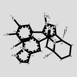 Cn1nc2c(c1-c1cc(F)c(F)c(F)c1)C[C@@H]1CCC[C@H]2N1C(=O)c1ccn2nccc2c1